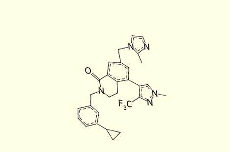 Cc1nccn1Cc1cc2c(c(-c3cn(C)nc3C(F)(F)F)c1)CCN(Cc1cccc(C3CC3)c1)C2=O